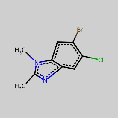 Cc1nc2cc(Cl)c(Br)cc2n1C